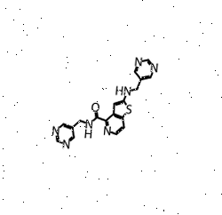 O=C(NCc1cncnc1)c1nccc2sc(NCc3cncnc3)cc12